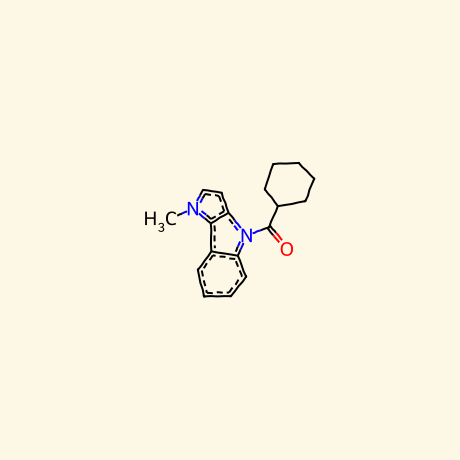 Cn1ccc2c1c1ccccc1n2C(=O)C1CCCCC1